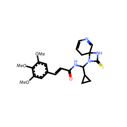 COc1cc(/C=C/C(=O)NC(C2CC2)N2C(=S)NC23C=NC=CC3)cc(OC)c1OC